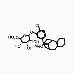 CO/C(=C1\C2CCCC1C1=C(CCCC1)C2)c1ccc(Cl)c(OC2OC(C(=O)O)[C@@H](O)[C@H](O)[C@@H]2O)c1